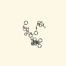 CN(C)CC#Cc1cccc(-c2nc(C(=O)NC3CCN(Cc4ccccc4)C3)cc3c2C(CCO[Si](c2ccccc2)(c2ccccc2)C(C)(C)C)N([S@+]([O-])C(C)(C)C)C3)c1